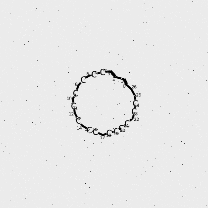 [C]1=C/C=C/CCCCCCCCCCCCCCCCCCCCCCC/1